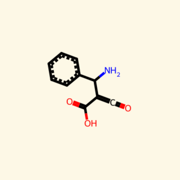 NC(C(=C=O)C(=O)O)c1ccccc1